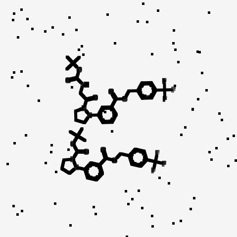 CC(C)(C)OC(=O)N1CCCN1c1cccc(C(=O)OCc2ccc(C(F)(F)F)cc2)c1.CC(C)(C)OC(=O)NCC(=O)N1CCCN1c1cccc(C(=O)OCc2ccc(C(F)(F)F)cc2)c1